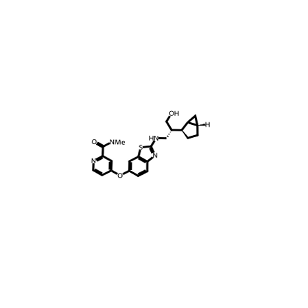 CNC(=O)c1cc(Oc2ccc3nc(NC[C@H](CO)[C@@H]4CC[C@H]5CC54)sc3c2)ccn1